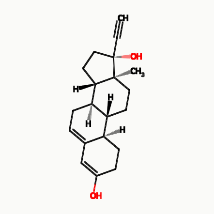 C#C[C@]1(O)CC[C@H]2[C@@H]3CC=C4C=C(O)CC[C@@H]4[C@H]3CC[C@@]21C